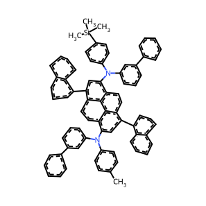 Cc1ccc(N(c2cccc(-c3ccccc3)c2)c2cc(-c3cccc4ccccc34)c3ccc4c(N(c5ccc([Si](C)(C)C)cc5)c5cccc(-c6ccccc6)c5)cc(-c5cccc6ccccc56)c5ccc2c3c54)cc1